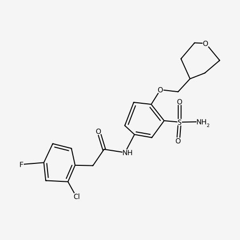 NS(=O)(=O)c1cc(NC(=O)Cc2ccc(F)cc2Cl)ccc1OCC1CCOCC1